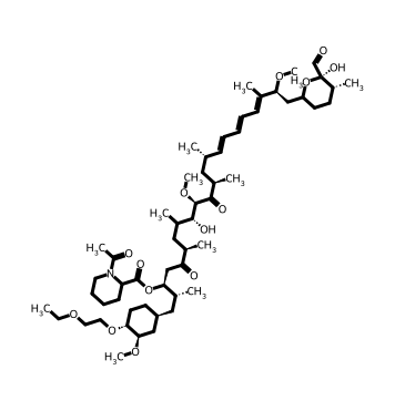 CCOCCO[C@@H]1CC[C@@H](C[C@@H](C)[C@H](CC(=O)[C@H](C)CC(C)[C@@H](O)[C@@H](OC)C(=O)[C@H](C)C[C@H](C)/C=C/C=C/C=C(\C)[C@H](CC2CC[C@@H](C)[C@](O)(C=O)O2)OC)OC(=O)C2CCCCN2C(C)=O)C[C@H]1OC